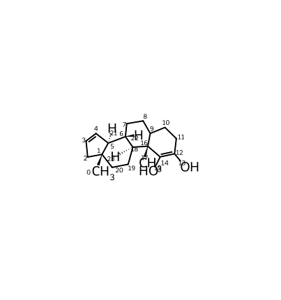 C[C@@]12CC=C[C@H]1[C@@H]1CCC3CCC(O)=C(O)[C@]3(C)[C@H]1CC2